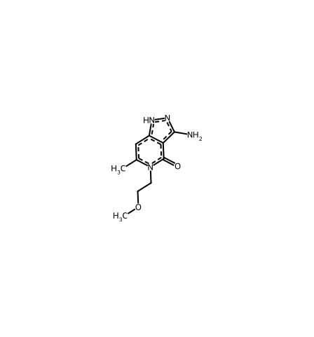 COCCn1c(C)cc2[nH]nc(N)c2c1=O